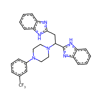 FC(F)(F)c1cccc(N2CCN(C(Cc3nc4ccccc4[nH]3)c3nc4ccccc4[nH]3)CC2)c1